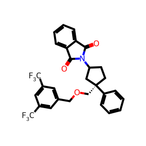 O=C1c2ccccc2C(=O)N1C1CC[C@@](COCc2cc(C(F)(F)F)cc(C(F)(F)F)c2)(c2ccccc2)C1